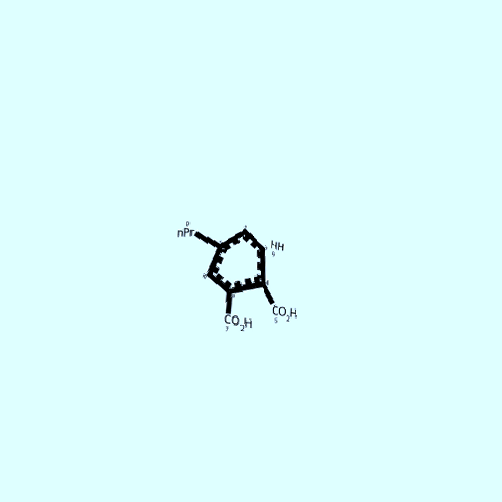 CCCc1ccc(C(=O)O)c(C(=O)O)c1.[HH]